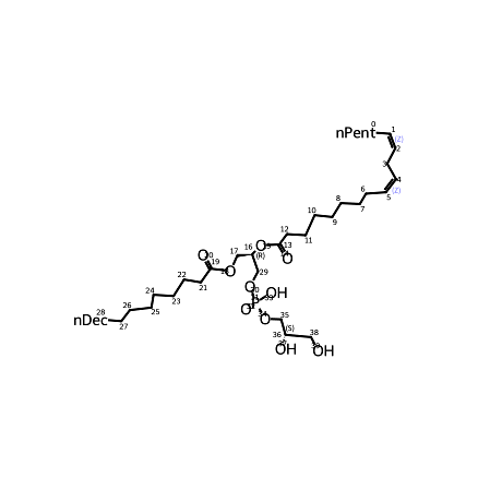 CCCCC/C=C\C/C=C\CCCCCCCC(=O)O[C@H](COC(=O)CCCCCCCCCCCCCCCCC)COP(=O)(O)OC[C@@H](O)CO